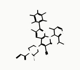 C=CC(=O)N1CCN(c2c(C#N)c(=O)n(C3C(C(C)C)=NC=CC3C)c3nc(-c4c(F)c(F)c(F)c(F)c4F)c(Cl)cc23)C[C@H]1C